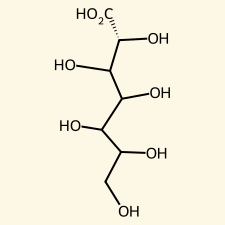 O=C(O)[C@H](O)C(O)C(O)C(O)C(O)CO